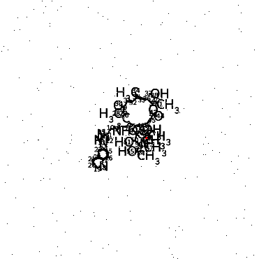 CCO[C@@H](O[C@H]1[C@@H](CCNCc2cn(-c3ccc4ncccc4c3)nn2)C[C@@H](C)C(=O)/C=C/C(C)=C/[C@H](CO)[C@@H](CC)OC(=O)C[C@@H](O)[C@@H]1C)C(O)C([C@@H](C)O)N(C)C